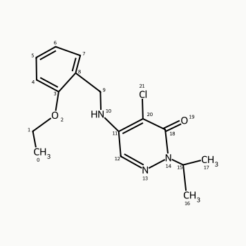 CCOc1ccccc1CNc1cnn(C(C)C)c(=O)c1Cl